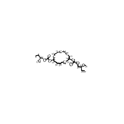 CCC(COC(=O)OC1CCCCCCCC(OC(=O)OCC(CC)OC)CCCCC1)OC